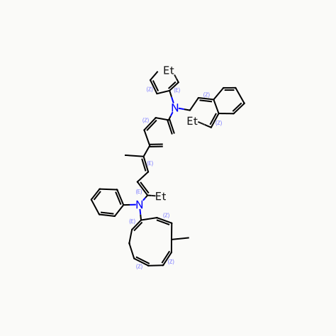 C=C(/C=C\C(=C)N(C/C=c1/cccc/c1=C/CC)C(/C=C\C)=C/CC)/C(C)=C/C=C(\CC)N(C1=C/C/C=C\C=C/C(C)/C=C\1)c1ccccc1